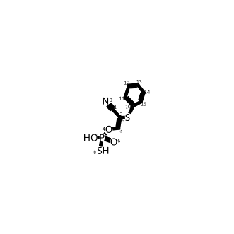 N#C/C(=C\OP(=O)(O)S)Sc1ccccc1